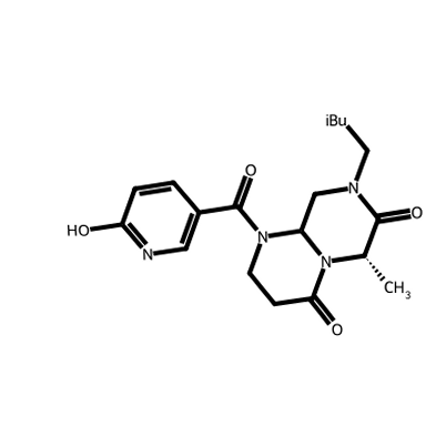 CCC(C)CN1CC2N(C(=O)c3ccc(O)nc3)CCC(=O)N2[C@@H](C)C1=O